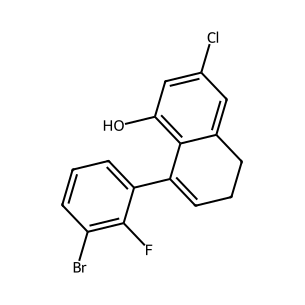 Oc1cc(Cl)cc2c1C(c1cccc(Br)c1F)=CCC2